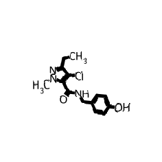 CCc1nn(C)c(C(=O)NCc2ccc(O)cc2)c1Cl